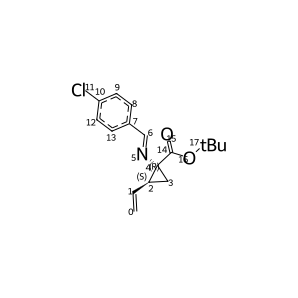 C=C[C@@H]1C[C@]1(N=Cc1ccc(Cl)cc1)C(=O)OC(C)(C)C